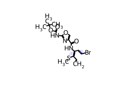 C=C/C(SC)=C(\C=C\Br)NC(=O)c1coc(NC(=O)OC(C)(C)C)n1